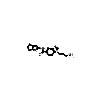 NCCCn1cnc2cc(C(=O)Nc3cc4c(s3)CCC4)ccc21